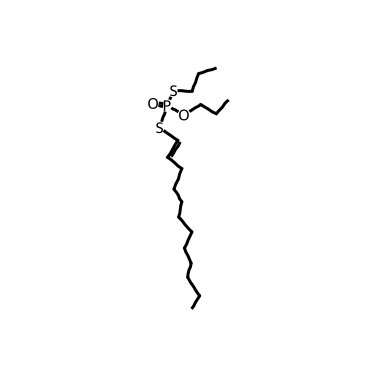 CCCCCCCCCC/C=C/SP(=O)(OCCC)SCCC